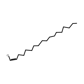 CCCCCCCCCCCCCCCC/C=[C]\Cl